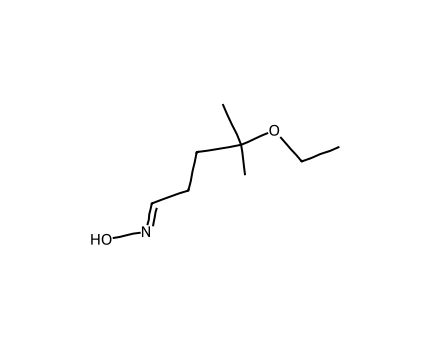 CCOC(C)(C)CCC=NO